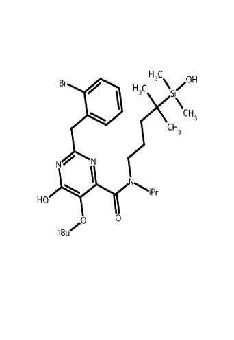 CCCCOc1c(O)nc(Cc2ccccc2Br)nc1C(=O)N(CCCC(C)(C)[Si](C)(C)O)C(C)C